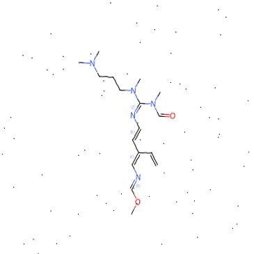 C=CC(/C=C/N=C(\N(C)C=O)N(C)CCCN(C)C)=C\N=C\OC